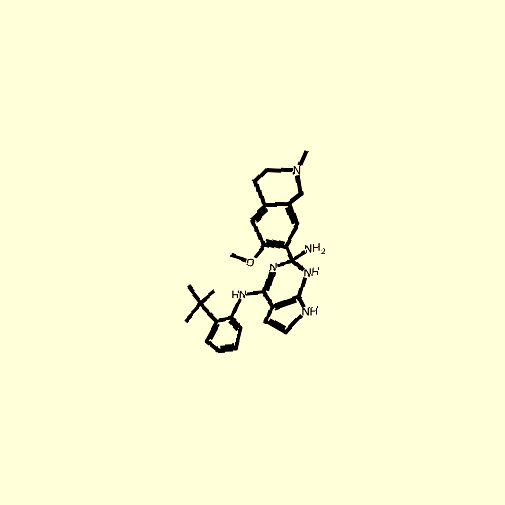 COc1cc2c(cc1C1(N)N=C(Nc3ccccc3C(C)(C)C)c3cc[nH]c3N1)CN(C)CC2